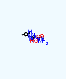 CCc1ccc(CC)c(CNc2ncnc3c2ncn3[C@@H]2O[C@H](C(=O)NC)[C@@H](N)[C@@H]2O)c1